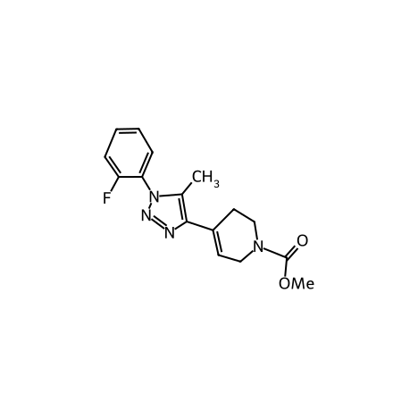 COC(=O)N1CC=C(c2nnn(-c3ccccc3F)c2C)CC1